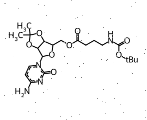 CC(C)(C)OC(=O)NCCCC(=O)OCC1OC(n2ccc(N)nc2=O)C2OC(C)(C)OC12